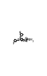 CC(NCc1ccc(OCc2cccc(F)c2)c(Cc2cccc(F)c2)c1)C(N)=O